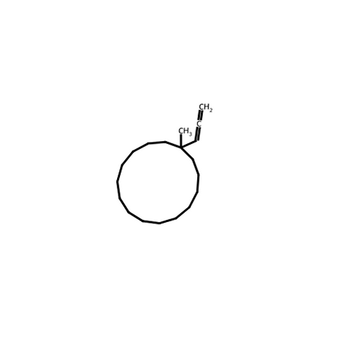 C=C=CC1(C)CCCCCCCCCCCCCC1